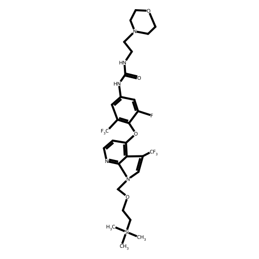 C[Si](C)(C)CCOCn1cc(C(F)(F)F)c2c(Oc3c(F)cc(NC(=O)NCCN4CCOCC4)cc3C(F)(F)F)ccnc21